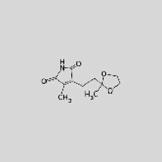 CC1=C(CCC2(C)OCCO2)C(=O)NC1=O